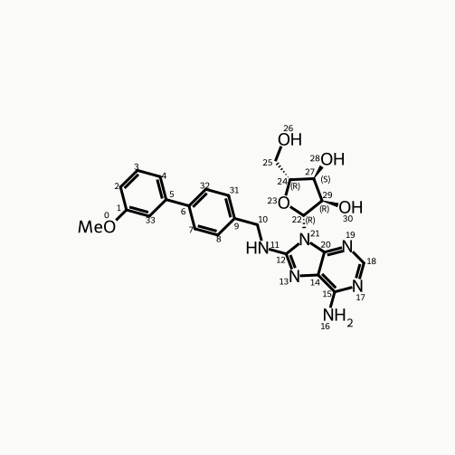 COc1cccc(-c2ccc(CNc3nc4c(N)ncnc4n3[C@@H]3O[C@H](CO)[C@@H](O)[C@H]3O)cc2)c1